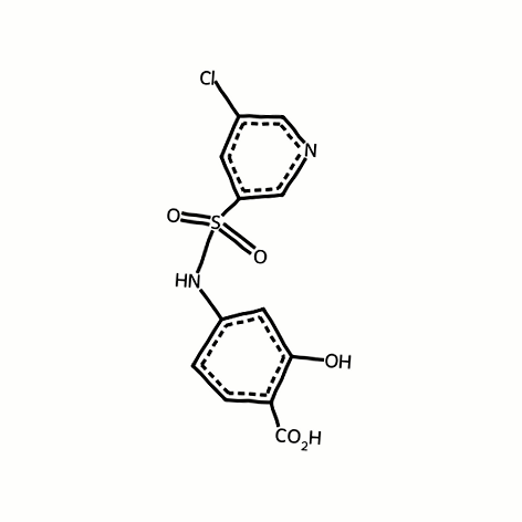 O=C(O)c1ccc(NS(=O)(=O)c2cncc(Cl)c2)cc1O